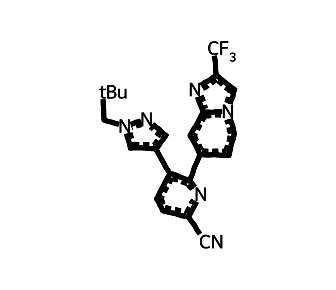 CC(C)(C)Cn1cc(-c2ccc(C#N)nc2-c2ccn3cc(C(F)(F)F)nc3c2)cn1